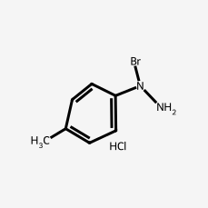 Cc1ccc(N(N)Br)cc1.Cl